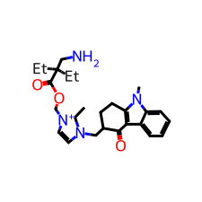 CCC(CC)(CN)C(=O)OC[n+]1ccn(CC2CCc3c(c4ccccc4n3C)C2=O)c1C